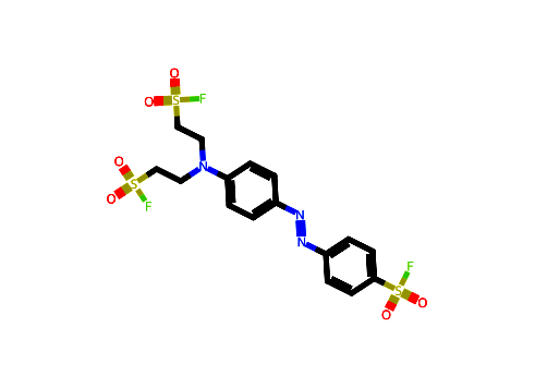 O=S(=O)(F)CCN(CCS(=O)(=O)F)c1ccc(N=Nc2ccc(S(=O)(=O)F)cc2)cc1